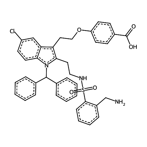 NCc1ccccc1S(=O)(=O)NCCc1c(CCOc2ccc(C(=O)O)cc2)c2cc(Cl)ccc2n1C(c1ccccc1)c1ccccc1